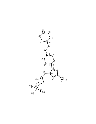 Cc1cc(N2CCN(CCN3CCOCC3)CC2)n(CC2CC(C(F)(F)F)C2)n1